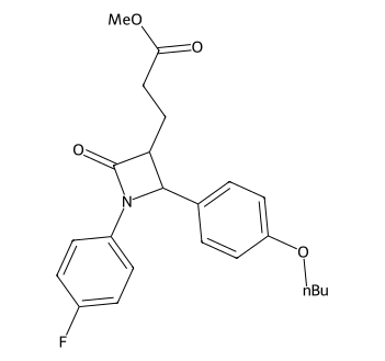 CCCCOc1ccc(C2C(CCC(=O)OC)C(=O)N2c2ccc(F)cc2)cc1